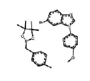 COc1ccc(-n2cnc3ccc(Br)cc32)cc1.Cc1ccc(CB2OC(C)(C)C(C)(C)O2)cc1